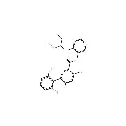 NCC(CCl)Oc1ccncc1NC(=O)c1nc(-c2c(P)cccc2I)c(I)cc1N